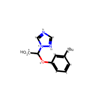 CC(C)(C)c1cccc(OC(C(=O)O)n2cncn2)c1